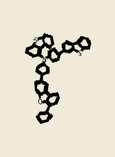 c1ccc(-c2cccc3c2oc2ccc(-c4ccc(N(c5ccc(-c6ccc7c(c6)sc6ccccc67)cc5)c5cccc6sc7ccccc7c56)cc4)cc23)cc1